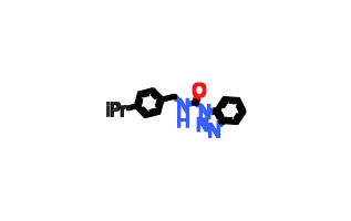 CC(C)c1ccc(CNC(=O)n2nnc3ccccc32)cc1